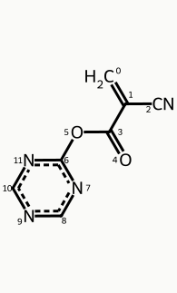 C=C(C#N)C(=O)Oc1ncncn1